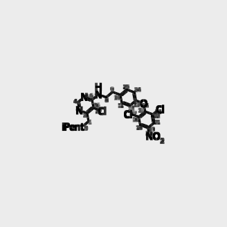 CCCC(C)Cc1ncnc(NCCc2ccc(Oc3c(Cl)cc([N+](=O)[O-])cc3Cl)cc2)c1Cl